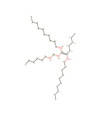 CCCCCCCCCCOC(CCCCC)=C(OCCCCCCCCCC)OCOCCCCCC